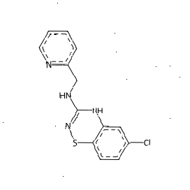 Clc1ccc2c(c1)NC(NCc1ccccn1)=NS2